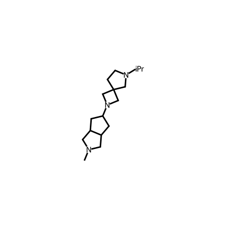 CC(C)N1CCC2(C1)CN(C1CC3CN(C)CC3C1)C2